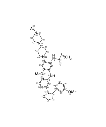 C=CC(=O)Nc1cc(Nc2cc(N3OCCC3c3cccc(OC)c3)ncn2)c(OC)cc1N1CCC(N2CCN(C(C)=O)CC2)CC1